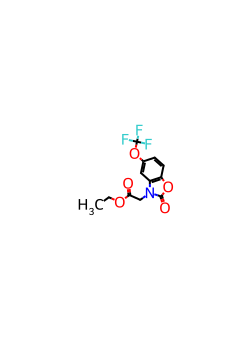 CCOC(=O)Cn1c(=O)oc2ccc(OC(F)(F)F)cc21